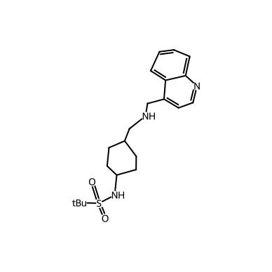 CC(C)(C)S(=O)(=O)NC1CCC(CNCc2ccnc3ccccc23)CC1